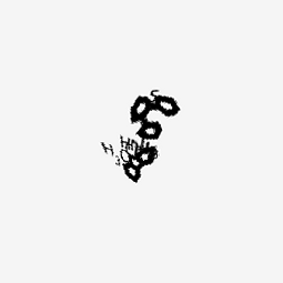 CC1(C)c2ccccc2-c2cccc(Nc3cccc(-c4cccc5sc6ccccc6c45)c3)c21